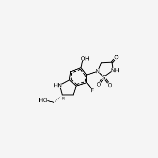 O=C1CN(c2c(O)cc3c(c2F)C[C@H](CO)N3)S(=O)(=O)N1